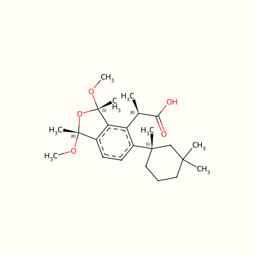 CO[C@]1(C)O[C@](C)(OC)c2c1ccc([C@@]1(C)CCCC(C)(C)C1)c2[C@@H](C)C(=O)O